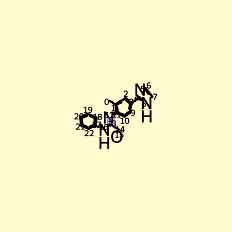 Cc1cc(-c2ncc[nH]2)ccc1/N=C(\C=O)Nc1ccccc1